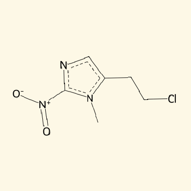 Cn1c(CCCl)cnc1[N+](=O)[O-]